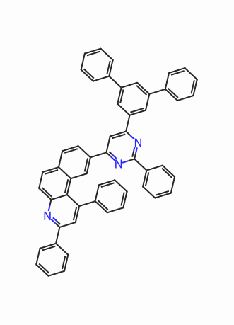 c1ccc(-c2cc(-c3ccccc3)cc(-c3cc(-c4ccc5ccc6nc(-c7ccccc7)cc(-c7ccccc7)c6c5c4)nc(-c4ccccc4)n3)c2)cc1